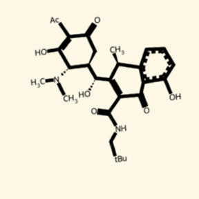 CC(=O)C1=C(O)[C@@H](N(C)C)[C@H]([C@@H](O)C2=C(C(=O)NCC(C)(C)C)C(=O)c3c(O)cccc3[C@@H]2C)CC1=O